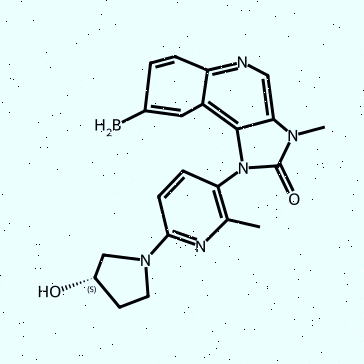 Bc1ccc2ncc3c(c2c1)n(-c1ccc(N2CC[C@H](O)C2)nc1C)c(=O)n3C